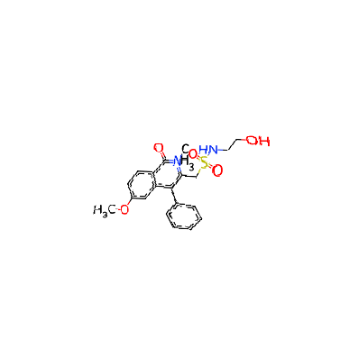 COc1ccc2c(=O)n(C)c(CS(=O)(=O)NCCO)c(-c3ccccc3)c2c1